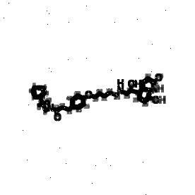 CC1(c2ccccc2)CN(C(=O)CCc2ccc(OCCCCCNCC(O)c3ccc(O)c4[nH]c(=O)ccc34)cc2)C1